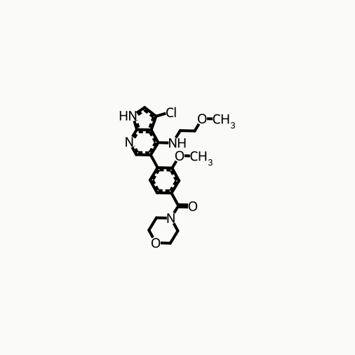 COCCNc1c(-c2ccc(C(=O)N3CCOCC3)cc2OC)cnc2[nH]cc(Cl)c12